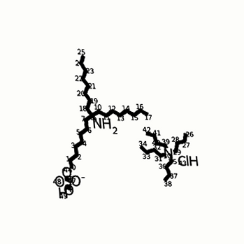 CCCCCCCCC(N)(CCCCCCCC)CCCCCCCC.CCCC[N+](CCCC)(CCCC)CCCC.Cl.O=S(=O)([O-])[O-].[H+]